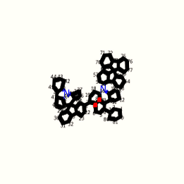 c1ccc(-c2ccccc2-c2ccccc2N(c2ccc(-c3ccc4c(c3)C3(c5ccccc5-4)c4ccccc4-n4c5ccccc5c5cccc3c54)cc2)c2cccc3c2-c2ccccc2C32c3ccccc3-c3ccccc32)cc1